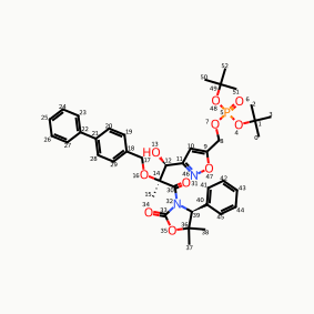 CC(C)(C)OP(=O)(OCc1cc([C@H](O)[C@](C)(OCc2ccc(-c3ccccc3)cc2)C(=O)N2C(=O)OC(C)(C)[C@@H]2c2ccccc2)no1)OC(C)(C)C